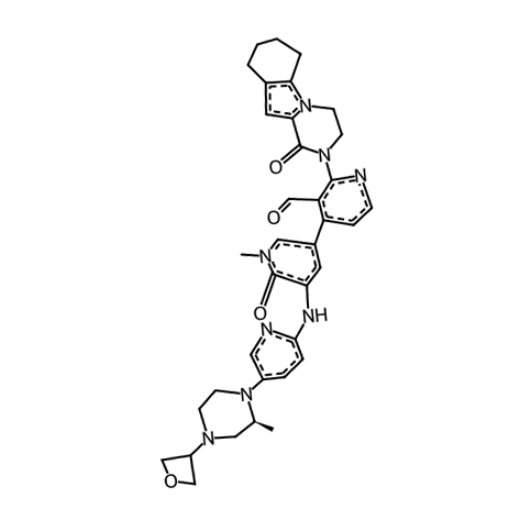 C[C@H]1CN(C2COC2)CCN1c1ccc(Nc2cc(-c3ccnc(N4CCn5c(cc6c5CCCC6)C4=O)c3C=O)cn(C)c2=O)nc1